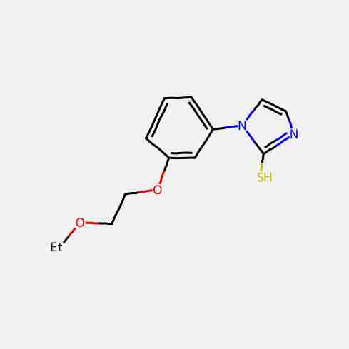 CCOCCOc1cccc(-n2ccnc2S)c1